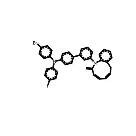 C=C1/C=C\C=C/Cc2ccccc2N1c1cccc(-c2ccc(N(c3ccc(Br)cc3)c3ccc(I)cc3)cc2)c1